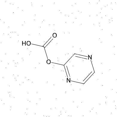 O=C(O)Oc1cnccn1